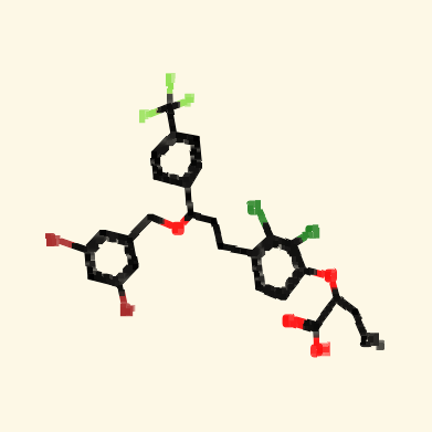 CCC(Oc1ccc(CCC(OCc2cc(Br)cc(Br)c2)c2ccc(C(F)(F)F)cc2)c(Cl)c1Cl)C(=O)O